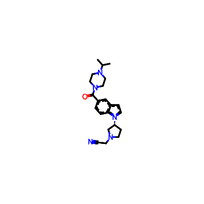 CC(C)N1CCN(C(=O)c2ccc3c(ccn3[C@@H]3CCN(CC#N)C3)c2)CC1